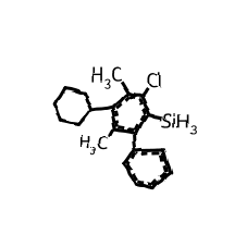 Cc1c(Cl)c([SiH3])c(-c2ccccc2)c(C)c1C1CCCCC1